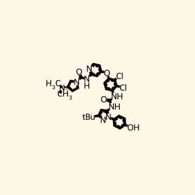 CN(C)[C@@H]1CCN(C(=O)Nc2cc(Oc3ccc(NC(=O)Nc4cc(C(C)(C)C)nn4-c4ccc(O)cc4)c(Cl)c3Cl)ccn2)C1